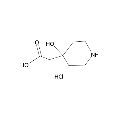 Cl.O=C(O)CC1(O)CCNCC1